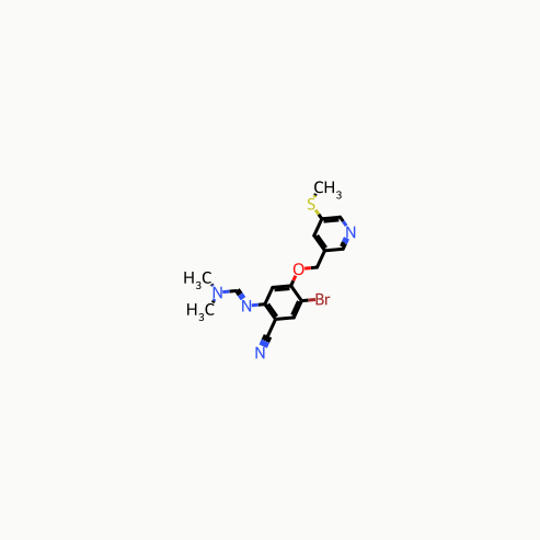 CSc1cncc(COc2cc(N=CN(C)C)c(C#N)cc2Br)c1